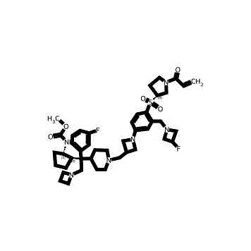 C=CC(=O)N1CC[C@@H](S(=O)(=O)c2ccc(N3CC(CN4CCC(C(CN5CCC5)(c5cccc(F)c5)[C@H]5CCC[C@@H]5NC(=O)OC)CC4)C3)cc2CN2CC(F)C2)C1